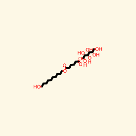 O=C(CCCCC(=O)OC(O)[C@H](O)[C@@H](O)[C@H](O)[C@H](O)CO)OCCCCCCCCCCO